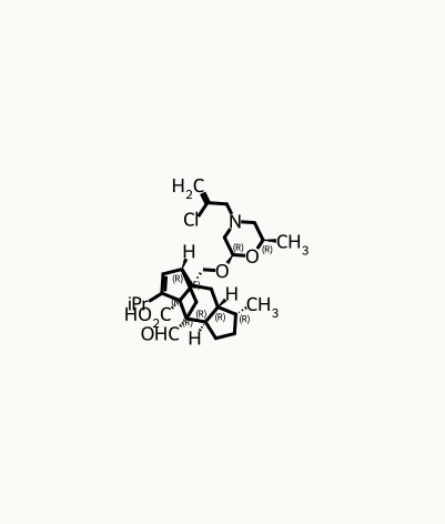 C=C(Cl)CN1C[C@H](OC[C@@]23C[C@@H]4[C@H](C)CC[C@H]4[C@]4(C=O)C[C@@H]2C=C(C(C)C)[C@@]34C(=O)O)O[C@H](C)C1